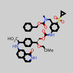 COCO[C@@H](COC(=O)Nc1ccc(S(=O)(=O)C2CC2)c(CN(C)C(=O)OCc2ccccc2)c1)c1ccc(C(Nc2ccc3cc[nH]c(=O)c3c2)C(=O)O)cc1